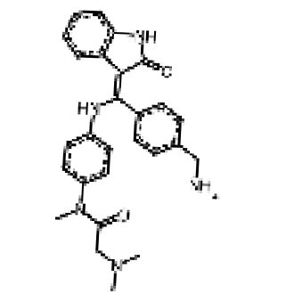 CN(C)CC(=O)N(C)c1ccc(NC(=C2C(=O)Nc3ccccc32)c2ccc(CN)cc2)cc1